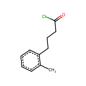 Cc1ccccc1CCCC(=O)Cl